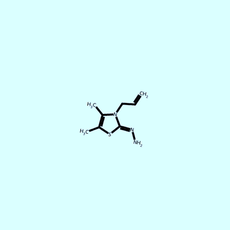 C=CCn1c(C)c(C)sc1=NN